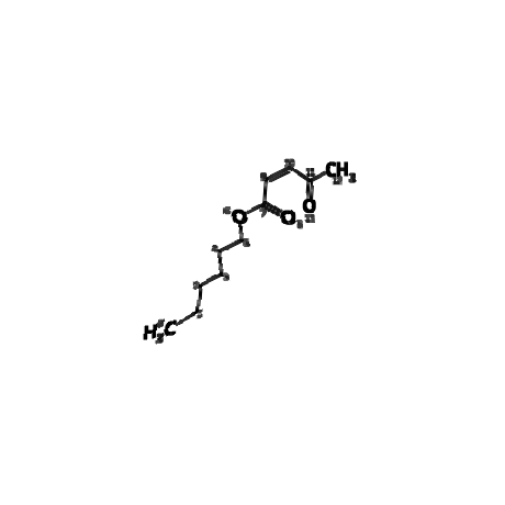 CCCCCCOC(=O)/C=C\C(C)=O